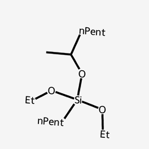 CCCCCC(C)O[Si](CCCCC)(OCC)OCC